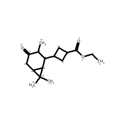 CCOC(=O)C1CC(C2C(C)C(=O)CC3C2C3(C)C)C1